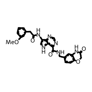 COc1cccc(CC(=O)Nc2c[nH]c3c(C(=O)NCc4ccc5c(c4)NC(=O)CO5)ncnc23)c1